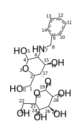 OCC1OC(O)C(NCc2ccccc2)[C@@H](O)[C@@H]1O[C@@H]1OC(CO)[C@H](O)[C@H](O)C1O